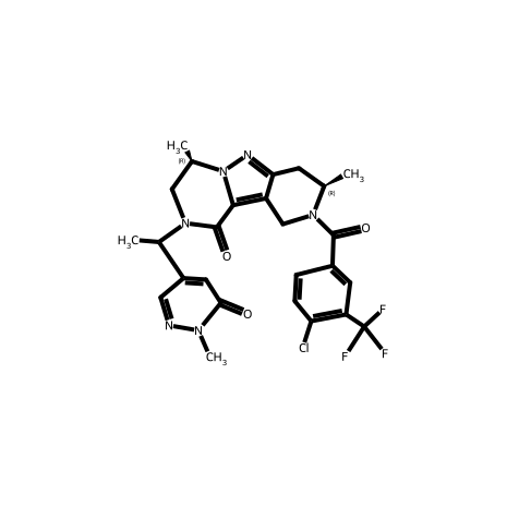 CC(c1cnn(C)c(=O)c1)N1C[C@@H](C)n2nc3c(c2C1=O)CN(C(=O)c1ccc(Cl)c(C(F)(F)F)c1)[C@H](C)C3